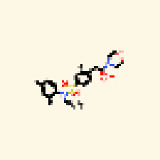 Cc1ccc(N(CC(C)C)S(=O)(=O)c2ccc(CC(O)N3CCOCC3)c(C)c2)c(C)c1